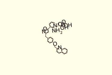 Nc1c(-c2cc(Cc3ccc(OCc4ccc5ccccc5n4)cc3)no2)ccc[n+]1COP(=O)(O)O